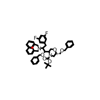 CC(C)(C)OC(=O)N1C[C@@H](COCc2ccccc2)OCC1C(OCc1ccccc1)C(Cc1cc(F)cc(F)c1)N(Cc1ccccc1)Cc1ccccc1